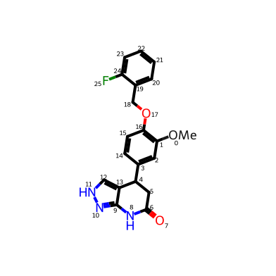 COc1cc(C2CC(=O)Nc3n[nH]cc32)ccc1OCc1ccccc1F